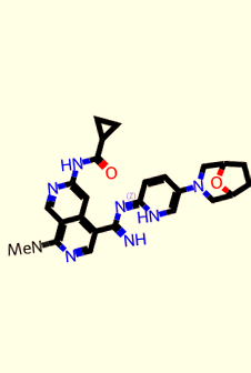 CNc1ncc(C(=N)/N=c2/ccc(N3CC4CCC(C3)O4)c[nH]2)c2cc(NC(=O)C3CC3)ncc12